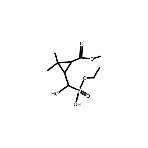 CCOP(=O)(O)C(O)C1C(C(=O)OC)C1(C)C